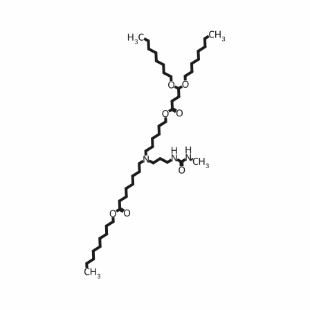 CCCCCCCCCOC(=O)CCCCCCCN(CCCCCCOC(=O)CCC(OCCCCCCCC)OCCCCCCCC)CCCNC(=O)NC